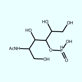 CC(=O)NC(CO)C(O)C(O[PH](=O)O)C(O)CO